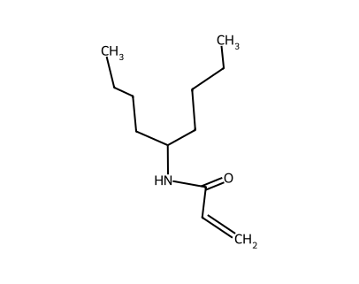 C=CC(=O)NC(CCCC)CCCC